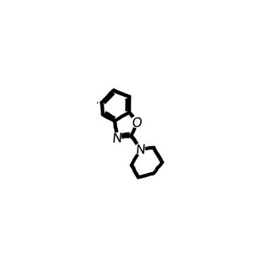 [c]1ccc2oc(N3CCCCC3)nc2c1